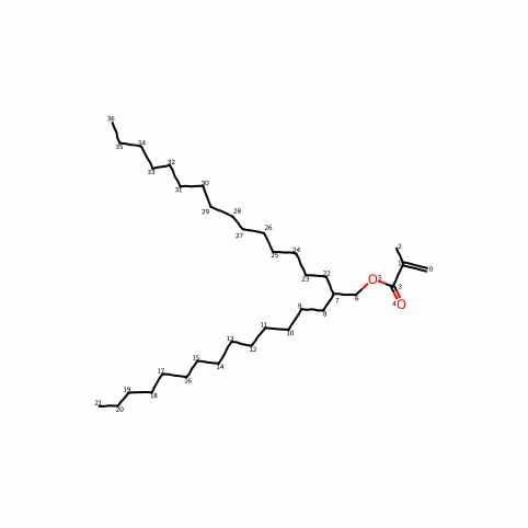 C=C(C)C(=O)OCC(CCCCCCCCCCCCCC)CCCCCCCCCCCCCCC